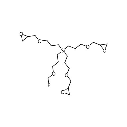 FCOCCC[Si](CCCOCC1CO1)(CCCOCC1CO1)CCCOCC1CO1